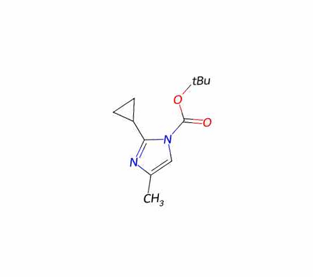 Cc1cn(C(=O)OC(C)(C)C)c(C2CC2)n1